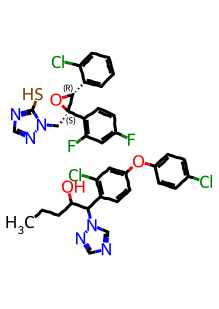 CCCC(O)C(c1ccc(Oc2ccc(Cl)cc2)cc1Cl)n1cncn1.Fc1ccc([C@@]2(Cn3ncnc3S)O[C@@H]2c2ccccc2Cl)c(F)c1